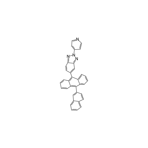 c1ccc2cc(-c3c4ccccc4c(-c4ccc5nn(-c6ccncc6)nc5c4)c4ccccc34)ccc2c1